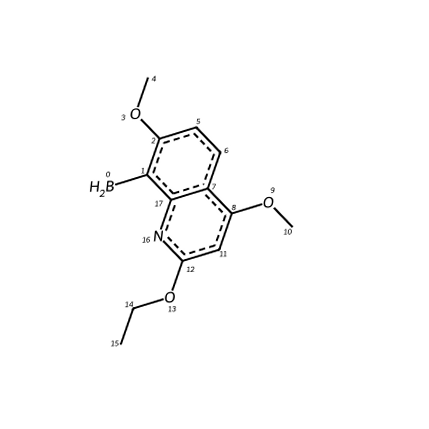 Bc1c(OC)ccc2c(OC)cc(OCC)nc12